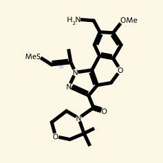 COc1cc2c(cc1CN)-c1c(c(C(=O)N3CCOCC3(C)C)nn1/C(C)=C/SC)CO2